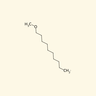 [CH2]CCCCCCCCCOC